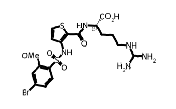 COc1cc(Br)ccc1S(=O)(=O)Nc1ccsc1C(=O)N[C@@H](CCCNC(N)N)C(=O)O